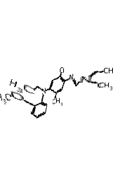 CCN(C)C=Nc1cc(C)c(N(CC)c2ccccc2OC)cc1Cl